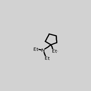 C[CH]C1(N(CC)CC)CCCC1